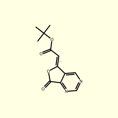 CC(C)(C)OC(=O)/C=C1\OC(=O)c2ncncc21